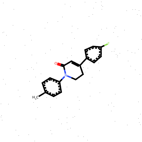 Cc1ccc(N2CCC(c3ccc(F)cc3)=CC2=O)cc1